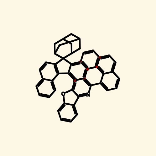 c1ccc(-c2nc3oc4ccccc4c3nc2-c2cccc3cccc(-c4ccc5c(c4)C4(c6ccc7ccccc7c6-5)C5CC6CC(C5)CC4C6)c23)cc1